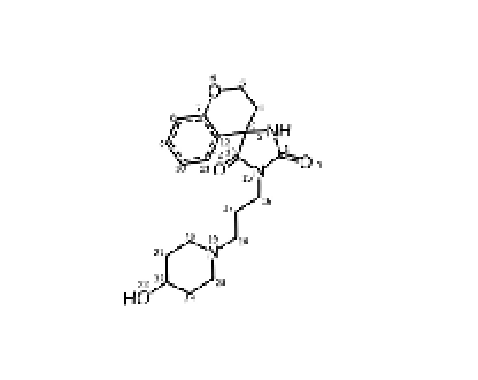 O=C1NC2(CCOc3ccccc32)C(=O)N1CCCN1CCC(O)CC1